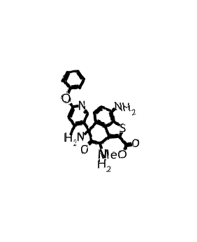 COC(=O)c1sc2c(N)ccc3c2c1C(N)C(=O)C3(N)c1cnc(Oc2ccccc2)cc1C